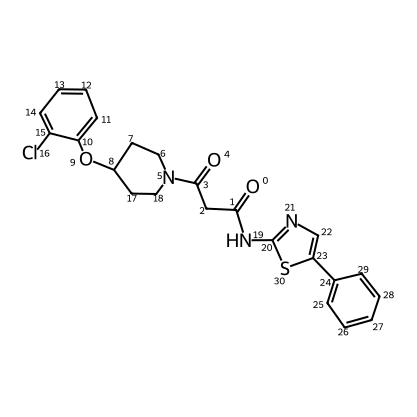 O=C(CC(=O)N1CCC(Oc2ccccc2Cl)CC1)Nc1ncc(-c2ccccc2)s1